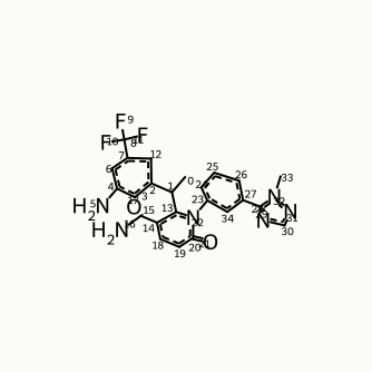 CC(c1cc(N)cc(C(F)(F)F)c1)c1c(C(N)=O)ccc(=O)n1-c1cccc(-c2ncnn2C)c1